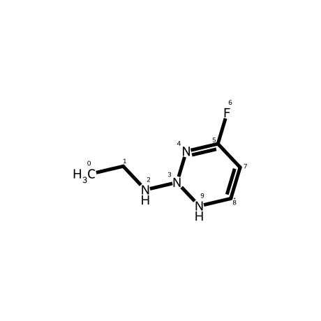 CCNN1N=C(F)C=[C]N1